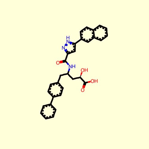 O=C(NC(Cc1ccc(-c2ccccc2)cc1)C[C@@H](O)C(=O)O)c1cc(-c2ccc3ccccc3c2)[nH]n1